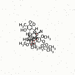 C=CCN1C2c3c(cc(C)c(OC)c3O)CC1[C@H](C#N)N1[C@H]2[C@@H]2SC[C@]3(NCCc4cc(OC(=O)OC(C)(C)C)c(OC)cc43)C(=O)OC[C@H]1c1c3c(c(C)c(O)c12)OCO3